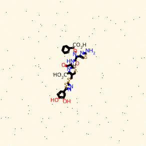 Nc1nc(C(=NOC(C(=O)O)c2ccccc2)C(=O)N[C@@H]2C(=O)N3C(C(=O)O)=C(CSc4nnc(-c5ccc(O)c(O)c5)s4)CS[C@@H]23)cs1